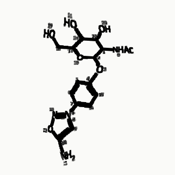 CC(=O)NC1C(Oc2ccc(-[n+]3cc(N)on3)cc2)OC(CO)C(O)C1O